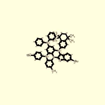 Cc1ccc2c(c1)B1c3sc4cc(C(C)(C)C)ccc4c3N(c3ccc4c(c3)C(C)(C)CCC4(C)C)c3cc(N(c4ccccc4)c4ccccc4)cc(c31)N2c1ccc(C(C)(C)C)cc1